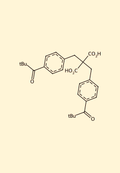 CC(C)(C)C(=O)c1ccc(CC(Cc2ccc(C(=O)C(C)(C)C)cc2)(C(=O)O)C(=O)O)cc1